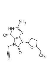 C#CCn1c(=O)n(C2CCC(CC(F)(F)F)O2)c2nc(N)[nH]c(=O)c21